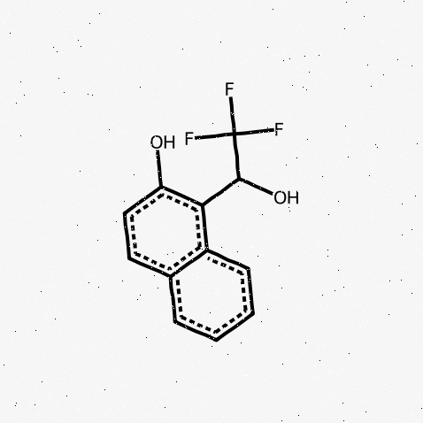 Oc1ccc2ccccc2c1C(O)C(F)(F)F